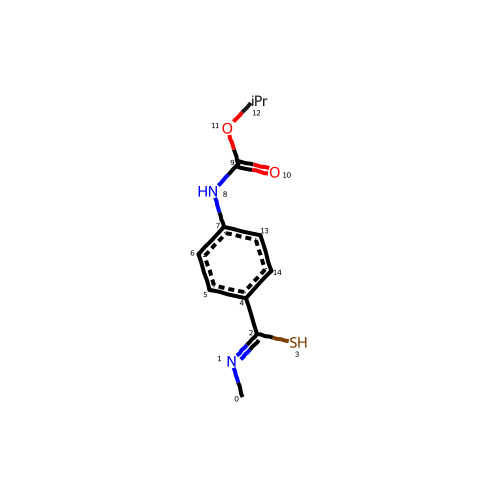 C/N=C(\S)c1ccc(NC(=O)OC(C)C)cc1